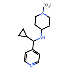 O=C(O)N1CCC(NC(c2ccncc2)C2CC2)CC1